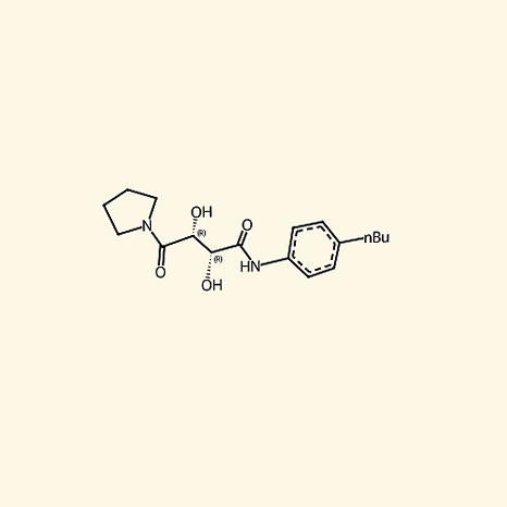 CCCCc1ccc(NC(=O)[C@H](O)[C@@H](O)C(=O)N2CCCC2)cc1